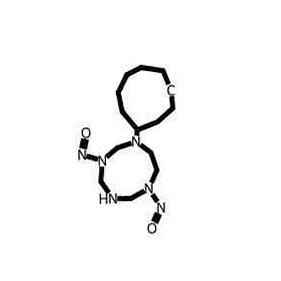 O=NN1CCN(C2CCCCCCCC2)CN(N=O)CNC1